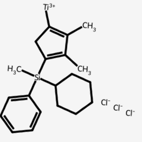 CC1=[C]([Ti+3])CC([Si](C)(c2ccccc2)C2CCCCC2)=C1C.[Cl-].[Cl-].[Cl-]